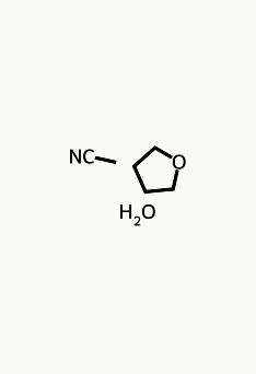 C1CCOC1.CC#N.O